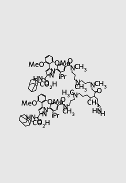 [2H]NCCCC(C(=O)CN(C)CCCN(C)CCCN(C)C(=O)c1ccc(-n2nc(C(=O)NC3(C(=O)O)C4CC5CC(C4)CC3C5)cc2-c2c(OC)cccc2OC)c(C(C)C)c1)C(C)CCCN(C)CCCN(C)C(=O)c1ccc(-n2nc(C(=O)NC3(C(=O)O)C4CC5CC(C4)CC3C5)cc2-c2c(OC)cccc2OC)c(C(C)C)c1